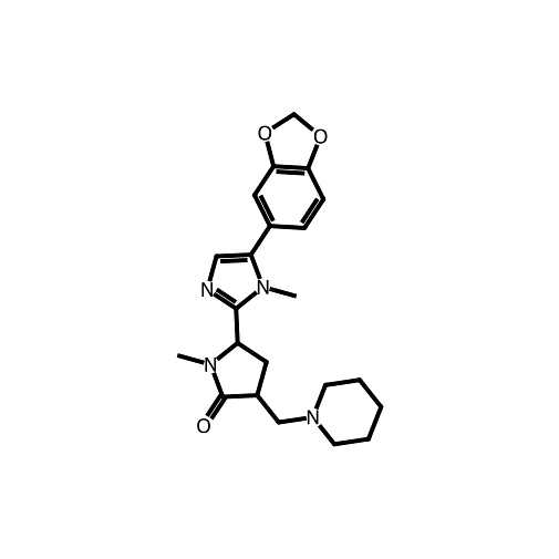 CN1C(=O)C(CN2CCCCC2)CC1c1ncc(-c2ccc3c(c2)OCO3)n1C